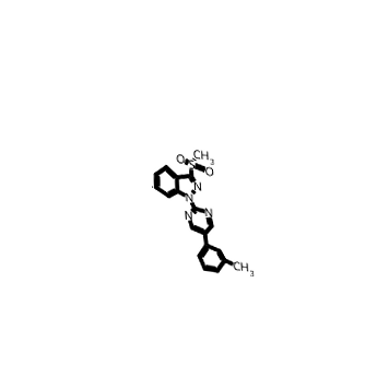 Cc1cccc(-c2cnc(-n3nc(S(C)(=O)=O)c4cc[c]cc43)nc2)c1